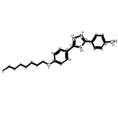 CCCCCCCCOc1ccc(-c2nnc(-c3ccc(O)cc3)s2)cc1